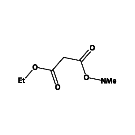 CCOC(=O)CC(=O)ONC